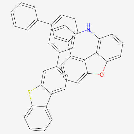 C1=C(c2ccccc2)C=C(c2cccc3oc4cccc(Nc5cccc(-c6ccc7c(c6)sc6ccccc67)c5)c4c23)CC1